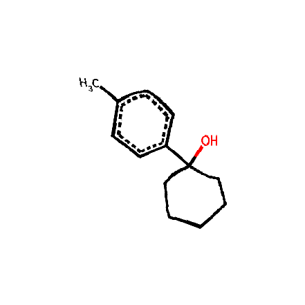 Cc1ccc(C2(O)CCCCC2)cc1